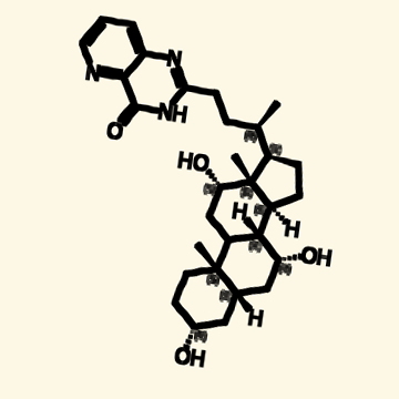 C[C@H](CCc1nc2cccnc2c(=O)[nH]1)[C@H]1CC[C@H]2[C@H]3C(C[C@H](O)[C@]12C)[C@@]1(C)CC[C@@H](O)C[C@H]1C[C@H]3O